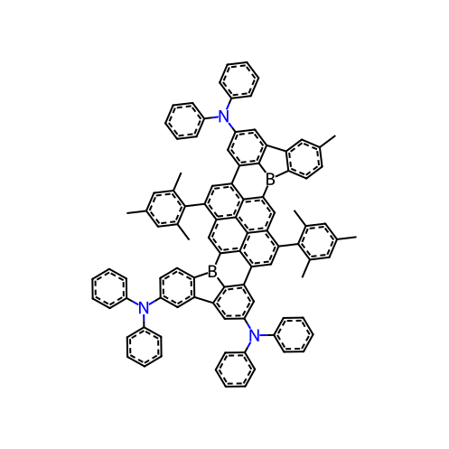 Cc1cc(C)c(-c2cc3c4c(cc5c(-c6c(C)cc(C)cc6C)cc6c7c(cc2c4c57)B2c4ccc(N(c5ccccc5)c5ccccc5)cc4-c4cc(N(c5ccccc5)c5ccccc5)cc-6c42)B2c4ccc(C)cc4-c4cc(N(c5ccccc5)c5ccccc5)cc-3c42)c(C)c1